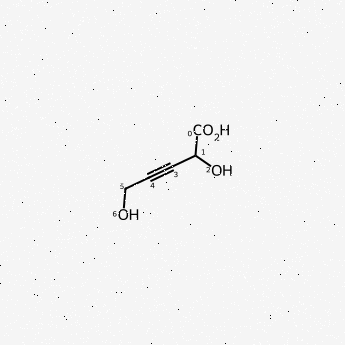 O=C(O)C(O)C#CCO